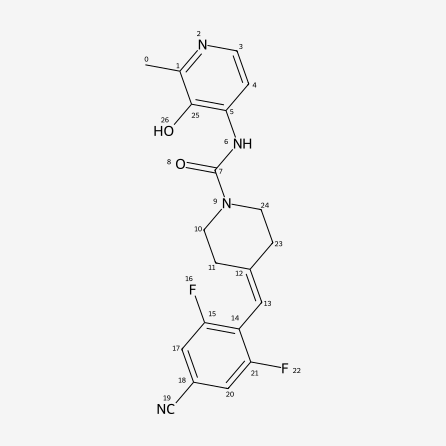 Cc1nccc(NC(=O)N2CCC(=Cc3c(F)cc(C#N)cc3F)CC2)c1O